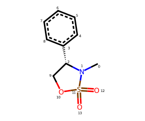 CN1[C@@H](c2ccccc2)COS1(=O)=O